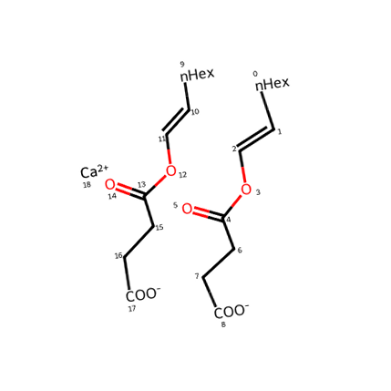 CCCCCCC=COC(=O)CCC(=O)[O-].CCCCCCC=COC(=O)CCC(=O)[O-].[Ca+2]